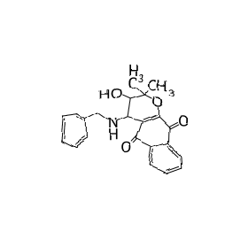 CC1(C)OC2=C(C(=O)c3ccccc3C2=O)C(NCc2ccccc2)C1O